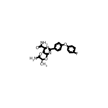 C[C@H](Oc1cc(C(N)=O)nc(-c2ccc(Oc3ccc(F)cc3)cc2)n1)C(N)=O